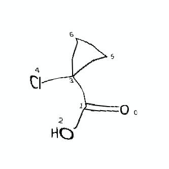 O=C(O)C1(Cl)CC1